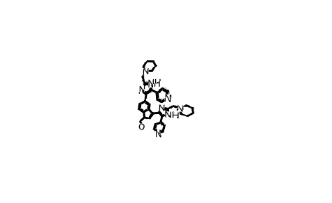 O=CC1C=C(c2nc(CN3CCCCC3)[nH]c2-c2ccncc2)c2cc(-c3nc(CN4CCCCC4)[nH]c3-c3ccncc3)ccc21